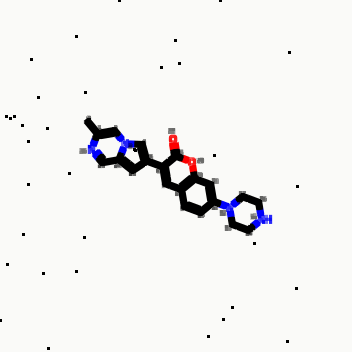 Cc1cn2cc(-c3cc4ccc(N5CCNCC5)cc4oc3=O)cc2cn1